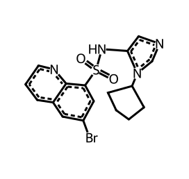 O=S(=O)(Nc1cncn1C1CCCC1)c1cc(Br)cc2cccnc12